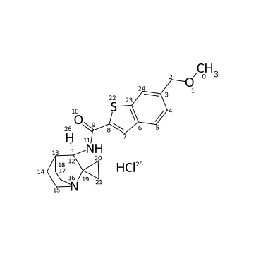 COCc1ccc2cc(C(=O)N[C@@H]3C4CCN(CC4)C34CC4)sc2c1.Cl